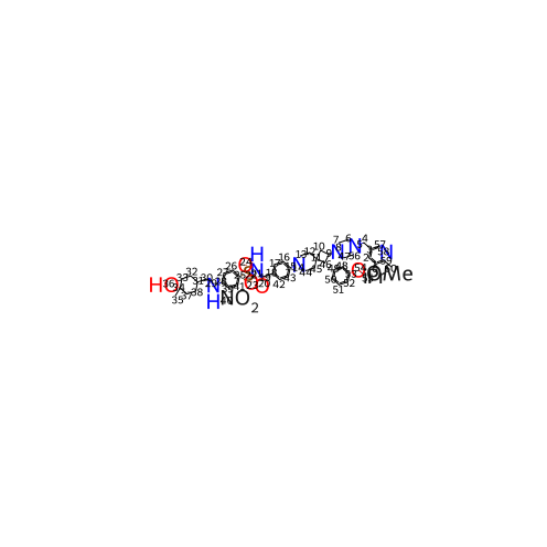 COc1cc(CN2CCN(C3CC4(CCN(c5ccc(C(=O)NS(=O)(=O)c6ccc(NCC7CCC(C)(O)CC7)c([N+](=O)[O-])c6)cc5)CC4)C3)[C@@H](c3ccccc3OC(C)C)C2)cnc1C